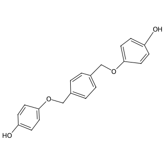 Oc1ccc(OCc2ccc(COc3ccc(O)cc3)cc2)cc1